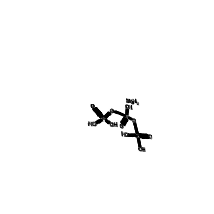 O=P(O)(O)OP(=O)(O)OP(=O)(O)O.[MgH2]